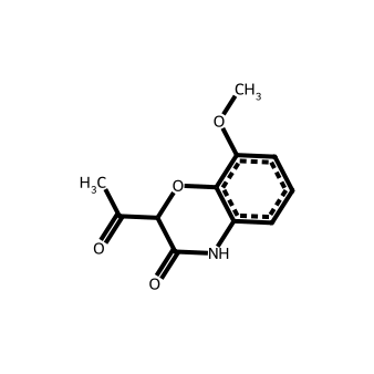 COc1cccc2c1OC(C(C)=O)C(=O)N2